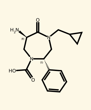 N[C@@H]1CN(C(=O)O)[C@@H](c2ccccc2)CN(CC2CC2)C1=O